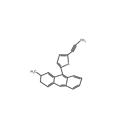 CC#Cc1ccc(-c2c3c(cc4ccccc24)=CCC(C)C=3)s1